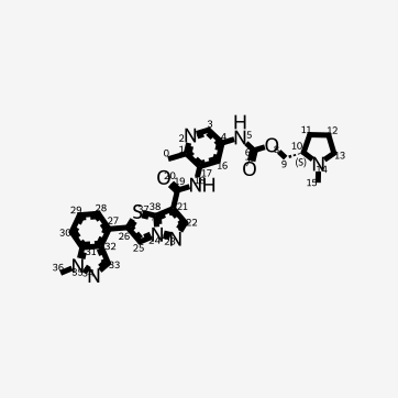 Cc1ncc(NC(=O)OC[C@@H]2CCCN2C)cc1NC(=O)c1cnn2cc(-c3cccc4c3cnn4C)sc12